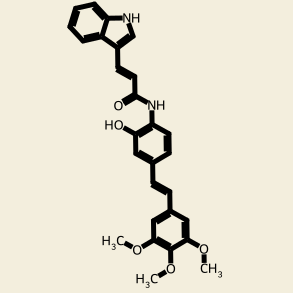 COc1cc(/C=C/c2ccc(NC(=O)/C=C/c3c[nH]c4ccccc34)c(O)c2)cc(OC)c1OC